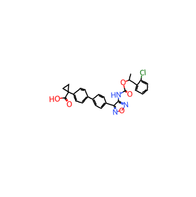 CC(OC(=O)Nc1nonc1-c1ccc(-c2ccc(C3(C(=O)O)CC3)cc2)cc1)c1ccccc1Cl